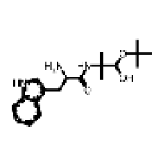 CC(C)(C)OC(O)C(C)(C)NC(=O)[C@H](N)Cc1c[nH]c2ccccc12